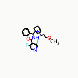 COCCCN1C2CCC1(C(NC(=O)c1c(F)cncc1F)c1ccccc1)CC2